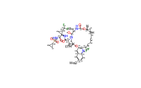 CC[C@@H]1[C@@H]2CN(C(=O)[C@H](C(C)(C)C)NC(=O)O[C@@H]3C[C@H]3CCCCC(F)(F)c3nc4ccc(OC)cc4cc3O2)[C@@H]1C(=O)NC1(C(=O)NS(=O)(=O)C2CC2)C[C@H]1C(F)F